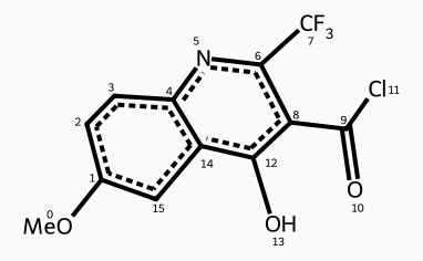 COc1ccc2nc(C(F)(F)F)c(C(=O)Cl)c(O)c2c1